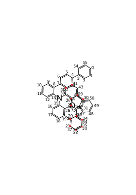 c1ccc(-c2ccc(-c3ccccc3N(c3cccc(-c4ccccc4)c3-c3ccccc3-c3ccccc3)c3cccc4c3oc3ccccc34)cc2)cc1